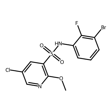 COc1ncc(Cl)cc1S(=O)(=O)Nc1cccc(Br)c1F